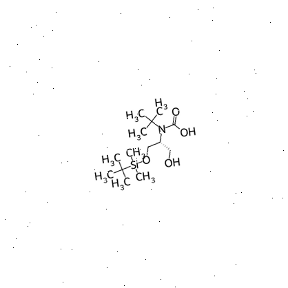 CC(C)(C)N(C(=O)O)[C@H](CO)CO[Si](C)(C)C(C)(C)C